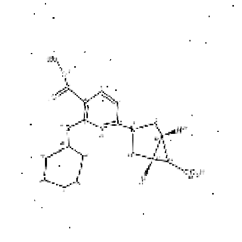 CC(C)(C)OC(=O)c1ccc(N2C[C@@H]3C(C(=O)O)[C@@H]3C2)nc1SC1CCCCC1